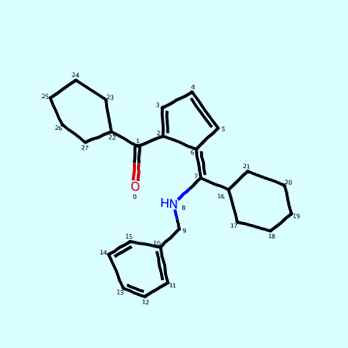 O=C(C1=CC=CC1=C(NCc1ccccc1)C1CCCCC1)C1CCCCC1